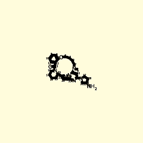 CN1CCCCOc2ccccc2C(=O)N2CCCCC2c2cc3nc(N4CC[C@@H](N)C4)cc1n3n2